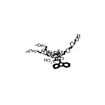 CCCCCCCCCCCCOC[C@H](CSC[C@](C(=O)NCCOCCOCCOCC)(N(CC1c2ccccc2-c2ccccc21)C(=O)O)P(=O)(OCC)OCC)NC(=O)CCCCCCCCCCC